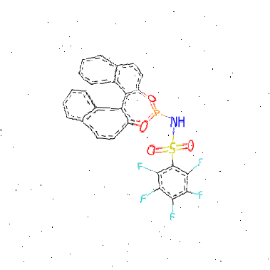 O=S(=O)(Np1oc2ccc3ccccc3c2c2c(ccc3ccccc32)o1)c1c(F)c(F)c(F)c(F)c1F